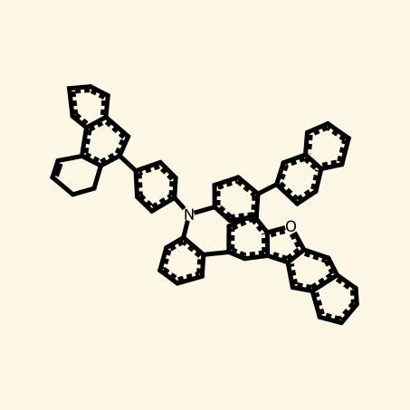 C1=Cc2c(c(-c3ccc(N(c4ccc(-c5ccc6ccccc6c5)cc4)c4ccccc4-c4ccc5oc6cc7ccccc7cc6c5c4)cc3)cc3ccccc23)CC1